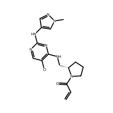 C=CC(=O)N1CCC[C@H]1CNc1nc(Nc2cnn(C)c2)ncc1Cl